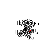 Cc1cc2c3c(c1)N(c1ccc(C(C)(C)C)cc1)c1c(sc4cc5c(cc14)C(C)(C)CCC5(C)C)B3c1ccc(C(C)(C)c3ccccc3)cc1N2c1ccc(C(C)(C)C)cc1-c1ccccc1